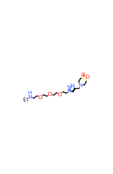 CCNCCOCCOCCOCCn1cc(CN2CCS(=O)(=O)CC2)nn1